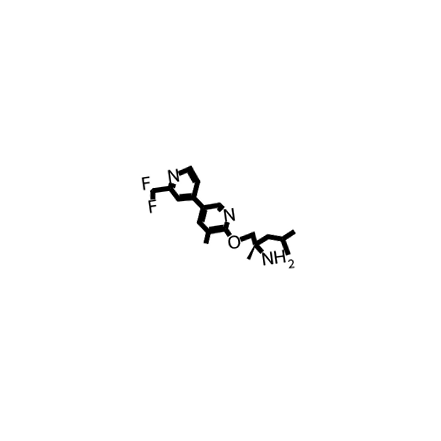 Cc1cc(-c2ccnc(C(F)F)c2)cnc1OC[C@@](C)(N)CC(C)C